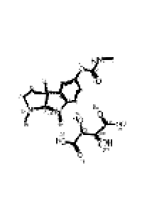 CNC(=O)Oc1ccc2c(c1)C1(C)CCN(C)C1N2C.O=C(O)C(O)C(O)C(=O)O